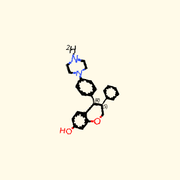 [2H]N1CCN(c2ccc([C@@H]3c4ccc(O)cc4OC[C@@H]3c3ccccc3)cc2)CC1